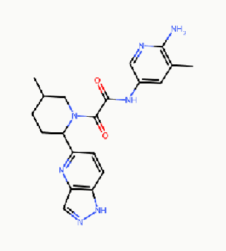 Cc1cc(NC(=O)C(=O)N2CC(C)CCC2c2ccc3[nH]ncc3n2)cnc1N